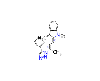 C=c1/c(=C\C=C(/C)n2nncc2-c2ccccc2)n(CC)c2ccccc12